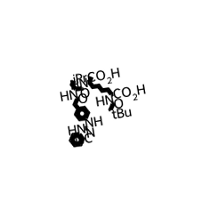 CC(C)CC(NC(=O)Cc1ccc(NC(=NC#N)Nc2ccccc2)cc1)C(=O)NC(CCCCC(NC(=O)CC(C)(C)C)C(=O)O)C(=O)O